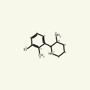 CCc1cccc(C2NCCCC2N)c1C